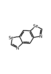 c1nc2cc3nc[se]c3cc2[se]1